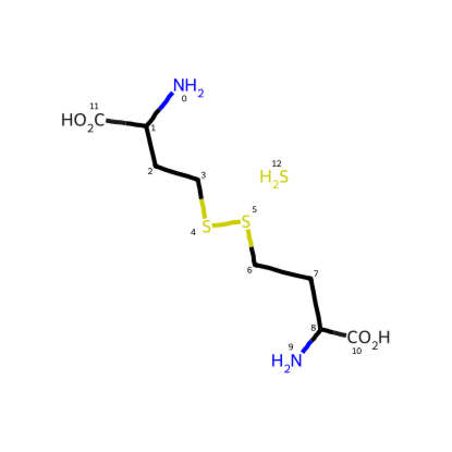 NC(CCSSCCC(N)C(=O)O)C(=O)O.S